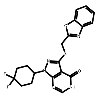 O=c1[nH]cnc2c1c(SCc1nc3ccccc3o1)nn2C1CCC(F)(F)CC1